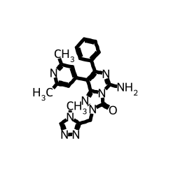 Cc1cc(-c2c(-c3ccccc3)nc(N)n3c(=O)n(Cc4nncn4C)nc23)cc(C)n1